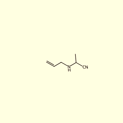 C=CCNC(C)C#N